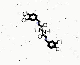 O=C(/C=C/c1ccc(Cl)c(Cl)c1)NNC(=O)/C=C/c1ccc(Cl)c(Cl)c1